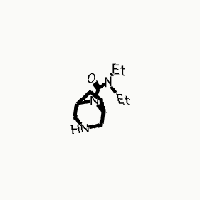 CCN(CC)C(=O)N1C2CCC1CNC2